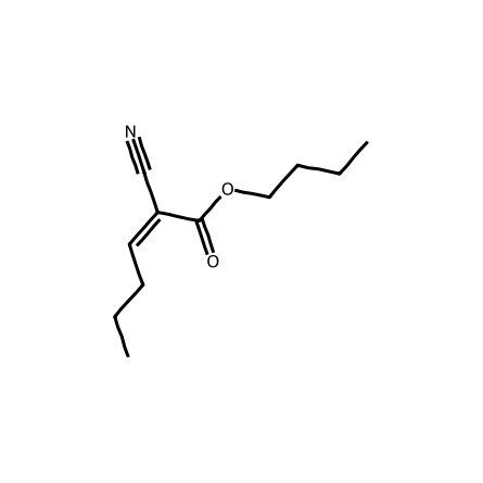 CCCC=C(C#N)C(=O)OCCCC